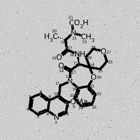 COc1cnc2ccccc2c1CN1C(=O)[C@@H](NC(=O)[C@H](C)N(C)C(=O)O)C2(CCOCC2)Oc2ccccc21